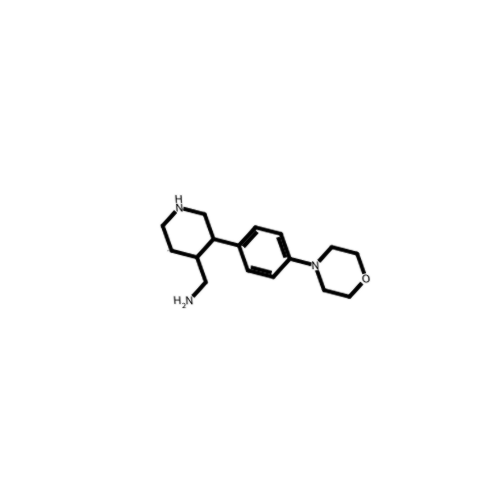 NCC1[CH]CNCC1c1ccc(N2CCOCC2)cc1